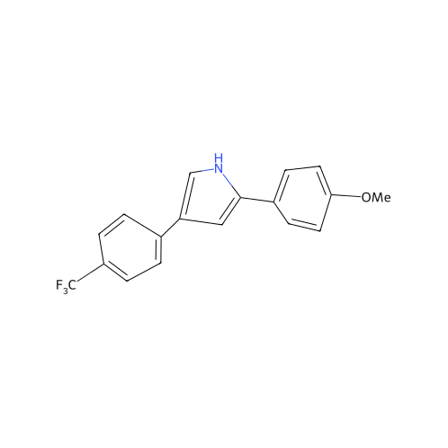 COc1ccc(-c2cc(-c3ccc(C(F)(F)F)cc3)c[nH]2)cc1